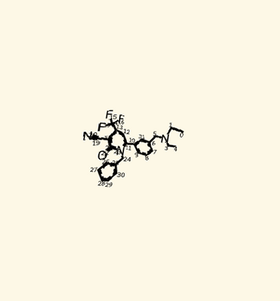 CCN(CC)Cc1cccc(-c2cc(C(F)(F)F)c(C#N)c(=O)n2Cc2ccccc2)c1